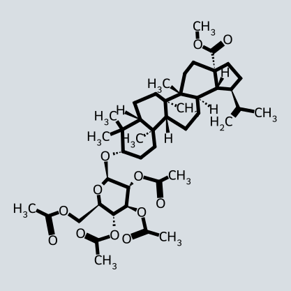 C=C(C)[C@@H]1CC[C@]2(C(=O)OC)CC[C@]3(C)[C@H](CC[C@@H]4[C@@]5(C)CC[C@H](O[C@@H]6O[C@H](COC(C)=O)[C@@H](OC(C)=O)[C@H](OC(C)=O)[C@H]6OC(C)=O)C(C)(C)[C@@H]5CC[C@]43C)[C@@H]12